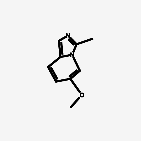 COc1ccc2cnc(C)n2c1